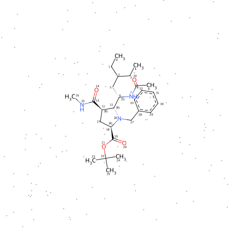 CCC(CC)C[C@H](NC(C)=O)[C@H]1[C@H](C(=O)NC)C[C@H](C(=O)OC(C)(C)C)N1Cc1ccccc1